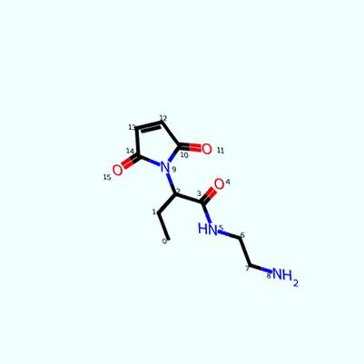 CCC(C(=O)NCCN)N1C(=O)C=CC1=O